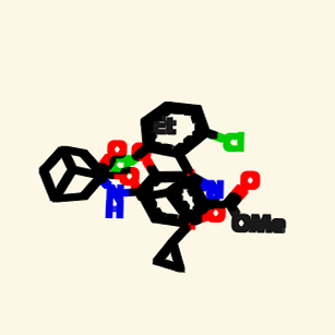 CCOc1cc(C(=O)OC)ccc1NC(=O)C1C2CC(OCc3c(-c4c(Cl)cccc4Cl)noc3C3CC3)CC1C2